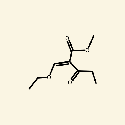 CCO/C=C(\C(=O)CC)C(=O)OC